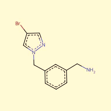 NCc1cccc(Cn2cc(Br)cn2)c1